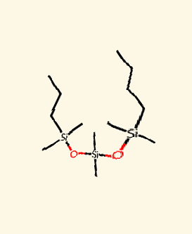 CCCC[Si](C)(C)O[Si](C)(C)O[Si](C)(C)CCC